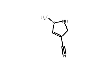 CN1[C]=C(C#N)CN1